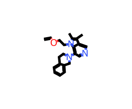 C=COCCn1c(C)c(C)c2cncc(N3CCc4ccccc4C3)c21